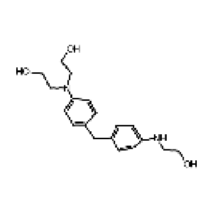 OCCNc1ccc(Cc2ccc(N(CCO)CCO)cc2)cc1